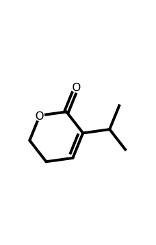 CC(C)C1=CCCOC1=O